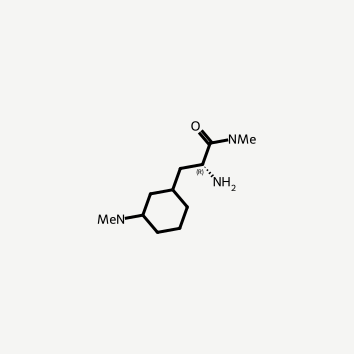 CNC(=O)[C@H](N)CC1CCCC(NC)C1